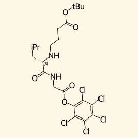 CC(C)C[C@H](NCCCC(=O)OC(C)(C)C)C(=O)NCC(=O)Oc1c(Cl)c(Cl)c(Cl)c(Cl)c1Cl